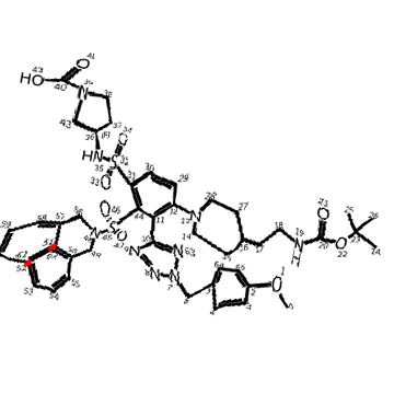 COc1ccc(Cn2nnc(-c3c(N4CCC(CCNC(=O)OC(C)(C)C)CC4)ccc(S(=O)(=O)N[C@@H]4CCN(C(=O)O)C4)c3S(=O)(=O)N(Cc3ccccc3)Cc3ccccc3)n2)cc1